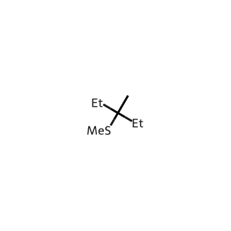 CCC(C)(CC)SC